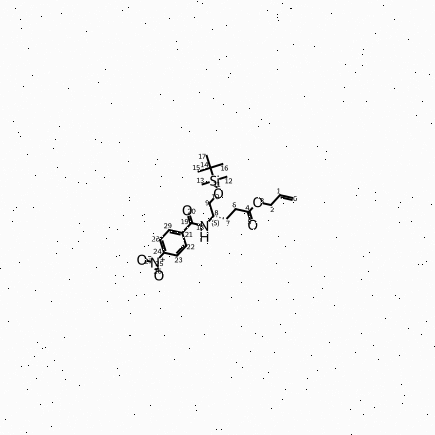 C=CCOC(=O)CC[C@@H](CO[Si](C)(C)C(C)(C)C)NC(=O)c1ccc([N+](=O)[O-])cc1